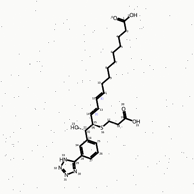 O=C(O)CCCCCCCC/C=C/C=C/[C@@H](SCCC(=O)O)[C@@H](O)c1cccc(-c2nnn[nH]2)c1